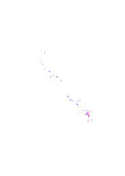 CC1(C)[C@H](NC(=O)c2ccc(CCCCCCN3CCN(c4cc5c(cc4F)C(=O)N(C4CCC(=O)NC4=O)C5=O)CC3)nc2)C(C)(C)[C@H]1Oc1ccc(C#N)c(Cl)c1